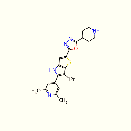 Cc1cc(-c2[nH]c3cc(-c4nnc(C5CCNCC5)o4)sc3c2C(C)C)cc(C)n1